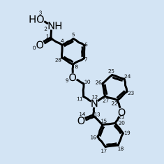 O=C(NO)c1cccc(OCCN2C(=O)c3ccccc3Oc3ccccc32)c1